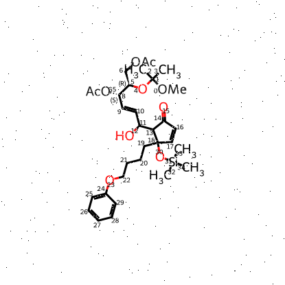 COC(C)(C)O[C@H](COC(C)=O)[C@H](C=CC(O)C1C(=O)C=CC1(CCCCOc1ccccc1)O[Si](C)(C)C)OC(C)=O